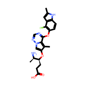 Cc1cc2c(F)c(Oc3ncnn4cc(O[C@@H](CCC(=O)O)[C@@H](C)N)c(C)c34)ccc2[nH]1